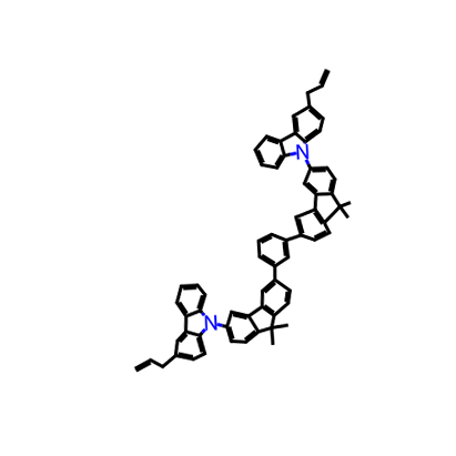 C=CCc1ccc2c(c1)c1ccccc1n2-c1ccc2c(c1)-c1cc(-c3cccc(-c4ccc5c(c4)-c4cc(-n6c7ccccc7c7cc(CC=C)ccc76)ccc4C5(C)C)c3)ccc1C2(C)C